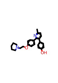 Cc1ccc(-c2ccc(O)cc2)c(-c2ccc(OCCN3CCCCC3)cc2)n1